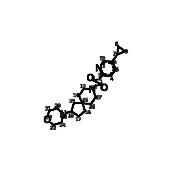 O=S(=O)(c1ccc(C2CC2)cn1)N1CCC2(CCC(N3CCOCC3)C2)CC1